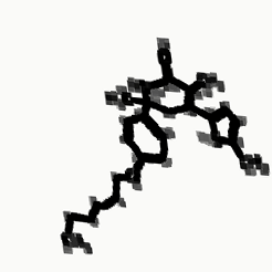 CCCCCCOc1ccc(C2(C)CC(c3ccc(C)s3)=C(C)C(=O)N2)cc1